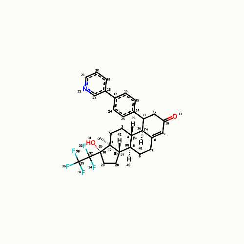 C[C@]12CC[C@H]3[C@@H](CCC4=CC(=O)CC(c5ccc(-c6cccnc6)cc5)[C@@H]43)[C@@H]1CC[C@@]2(O)C(F)(F)C(F)(F)F